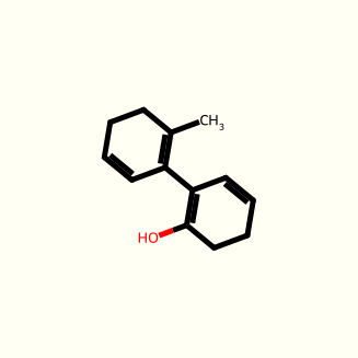 CC1=C(C2=C(O)CCC=C2)C=CCC1